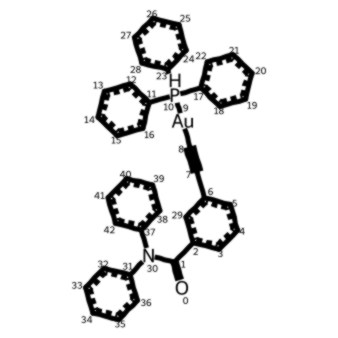 O=C(c1cccc(C#[C][Au][PH](c2ccccc2)(c2ccccc2)c2ccccc2)c1)N(c1ccccc1)c1ccccc1